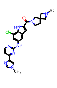 CCN1CC2(CCN(C(=O)c3cc4cc(Nc5nccc(-c6cn(C)cn6)n5)cc(Cl)c4[nH]3)C2)C1